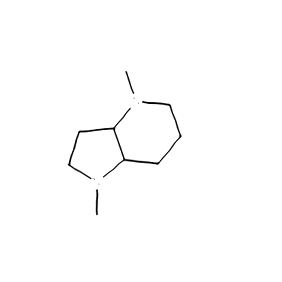 CN1CCCC2C1CCN2C